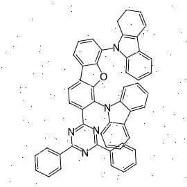 C1=Cc2c(n(-c3cccc4c3oc3c(-n5c6ccccc6c6ccccc65)c(-c5nc(-c6ccccc6)nc(-c6ccccc6)n5)ccc34)c3ccccc23)CC1